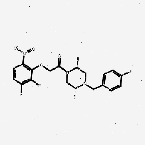 C[C@@H]1CN(C(=O)COc2c([N+](=O)[O-])ccc(F)c2F)[C@@H](C)CN1Cc1ccc(F)cc1